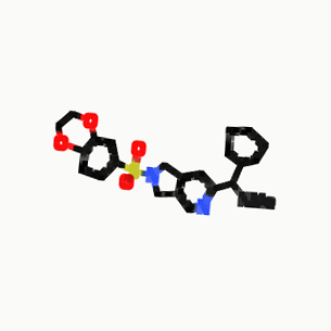 CNC(c1ccccc1)c1cc2c(cn1)CN(S(=O)(=O)c1ccc3c(c1)OCCO3)C2